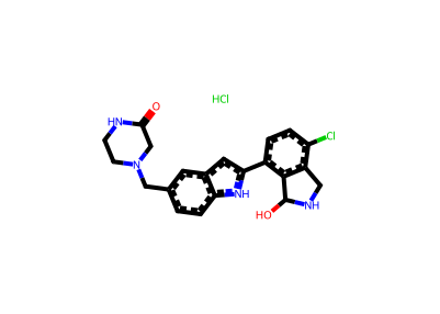 Cl.O=C1CN(Cc2ccc3[nH]c(-c4ccc(Cl)c5c4C(O)NC5)cc3c2)CCN1